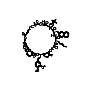 CCCCC[C@H]1C(=O)N[C@@H](Cc2ccc3ccccc3c2)C(=O)N(C)[C@@H](COC(C)(C)C)C(=O)NCC(=O)N(C)CC/C=C/C(=O)OCC(C)(C)C(=O)C(=O)N2CCCC[C@H]2C(=O)O[C@H](CCc2ccc(OC)c(OC)c2)c2ccc(F)c(c2)OCC(=O)N1C